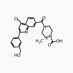 C[C@@H]1CN(C(=O)c2ccc3c(Cl)cc(-c4cccc(CO)c4)nc3c2)CCN1C(=O)O